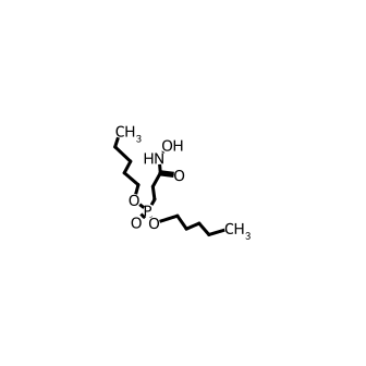 CCCCCOP(=O)(CCC(=O)NO)OCCCCC